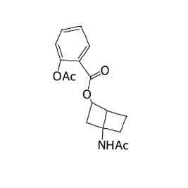 CC(=O)NC12CCC1C(OC(=O)c1ccccc1OC(C)=O)C2